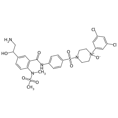 CN(c1ccc(C(O)CN)cc1C(=O)Nc1ccc(S(=O)(=O)N2CC[N+]([O-])(c3cc(Cl)cc(Cl)c3)CC2)cc1)S(C)(=O)=O